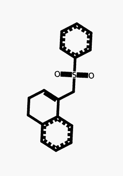 O=S(=O)(CC1=CCCc2ccccc21)c1ccccc1